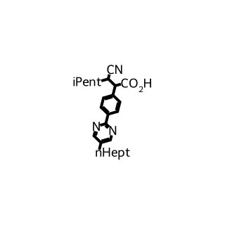 CCCCCCCc1cnc(-c2ccc(C(C(=O)O)C(C#N)C(C)CCC)cc2)nc1